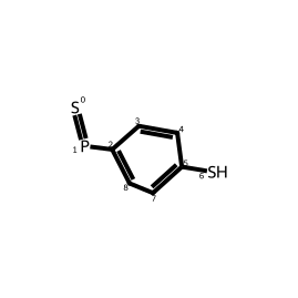 S=Pc1ccc(S)cc1